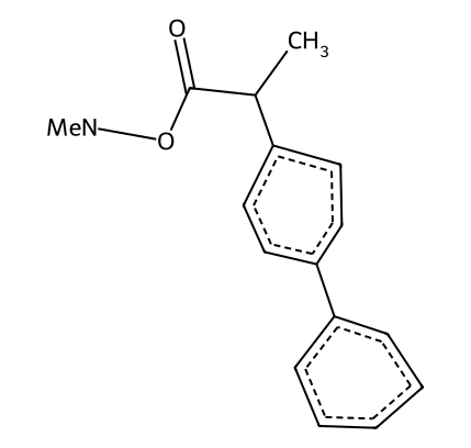 CNOC(=O)C(C)c1ccc(-c2ccccc2)cc1